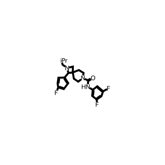 CC(C)CN1CC2(CCN(C(=O)Nc3cc(F)cc(F)c3)CC2)C1c1ccc(F)cc1